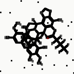 COc1cc2c(cc1O)CCN[C@]21CS[C@@H]2c3c(OC(=O)C(F)(F)C(F)(F)C(F)(F)F)c(C)c4c(c3[C@H](COC1=O)N1C2[C@@H]2c3c(cc(C)c(OC)c3O)C[C@@H]([C@@H]1O)N2C)OCO4